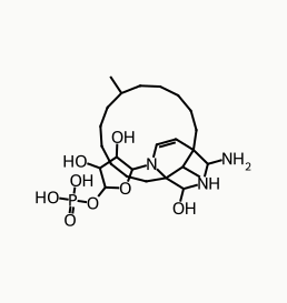 CC1CCCCCCC23C(O)NC(N)C(C=CN2C2OC(OP(=O)(O)O)C(O)C2O)(CCCCC1)C3C